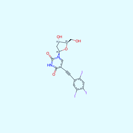 O=c1[nH]c(=O)n([C@H]2C[C@H](O)[C@@H](CO)O2)cc1C#Cc1cc(I)c(I)cc1I